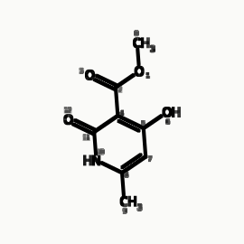 COC(=O)c1c(O)cc(C)[nH]c1=O